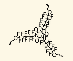 C=CCOC(F)(F)C(F)(F)C(F)(F)C(F)(F)C(F)(F)n1c(=O)n(C(F)(F)C(F)(F)C(F)(F)C(F)(F)C(F)(F)OCC=C)c(=O)n(C(F)(F)C(F)(F)C(F)(F)C(F)(F)C(F)(F)OCC=C)c1=O